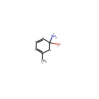 CC1=CC=CC(N)(O)C1